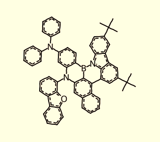 CC(C)(C)c1ccc2c(c1)c1cc(C(C)(C)C)cc3c1n2B1c2ccc(N(c4ccccc4)c4ccccc4)cc2N(c2cccc4c2oc2ccccc24)c2cc4ccccc4c-3c21